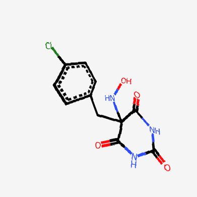 O=C1NC(=O)C(Cc2ccc(Cl)cc2)(NO)C(=O)N1